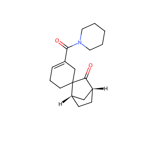 O=C(C1=CCCC2(C1)C(=O)[C@@H]1CC[C@H]2C1)N1CCCCC1